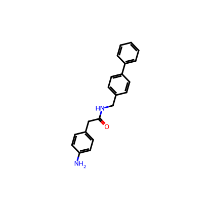 Nc1ccc(CC(=O)NCc2ccc(-c3ccccc3)cc2)cc1